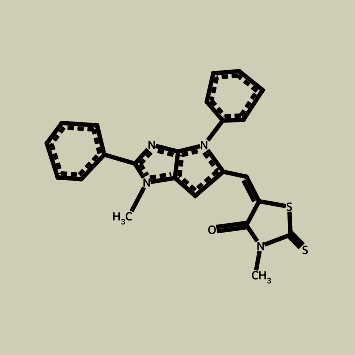 CN1C(=O)/C(=C\c2cc3c(nc(-c4ccccc4)n3C)n2-c2ccccc2)SC1=S